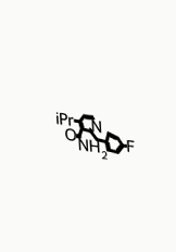 CC(C)c1ccnc(Cc2ccc(F)cc2)c1C(N)=O